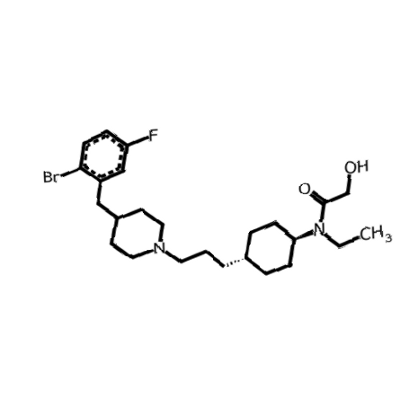 CCN(C(=O)CO)[C@H]1CC[C@H](CCCN2CCC(Cc3cc(F)ccc3Br)CC2)CC1